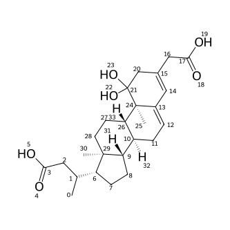 CC(CC(=O)O)[C@H]1CC[C@H]2[C@@H]3CC=C4C=C(CC(=O)O)CC(O)(O)[C@]4(C)[C@H]3CC[C@]12C